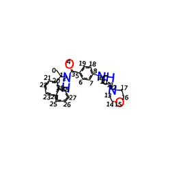 CC(NC(=O)c1ccc(NCCN2CCOCC2)cc1)c1cccc2ccccc12